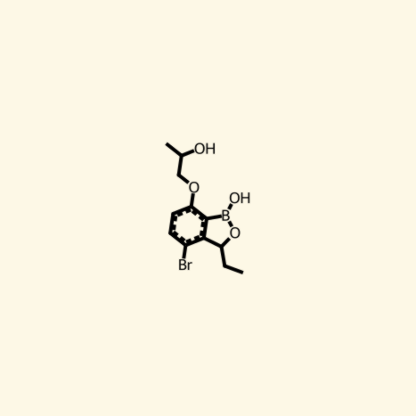 CCC1OB(O)c2c(OCC(C)O)ccc(Br)c21